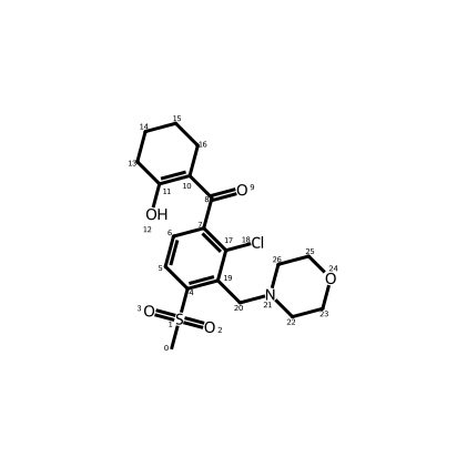 CS(=O)(=O)c1ccc(C(=O)C2=C(O)CCCC2)c(Cl)c1CN1CCOCC1